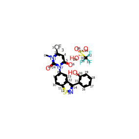 Cn1c(C(F)(F)F)cc(=O)n(-c2ccc3snc(-c4ccccc4O)c3c2)c1=O.O=S(=O)(O)C(F)(F)F